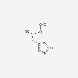 N#CC(Cc1cn[nH]c1)OC=O